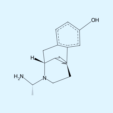 C[C@H](N)N1CC[C@]23CCCCC2[C@H]1Cc1ccc(O)cc13